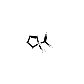 N[N+]1(C(=O)[O-])C=CCC1